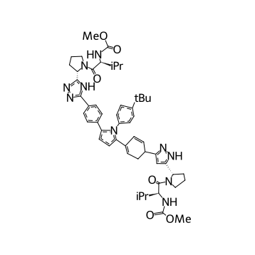 COC(=O)N[C@H](C(=O)N1CCC[C@H]1c1cc(C2C=CC(c3ccc(-c4ccc(-c5nnc([C@@H]6CCCN6C(=O)[C@@H](NC(=O)OC)C(C)C)[nH]5)cc4)n3-c3ccc(C(C)(C)C)cc3)=CC2)n[nH]1)C(C)C